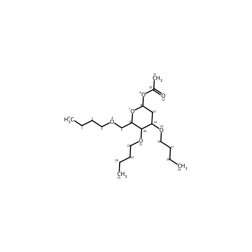 CCCCOCC1OC(OC(C)=O)CC(OCCCC)C1OCCCC